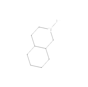 CCN1CCC2CCCCC2C1